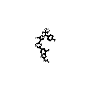 CC(F)(F)C(c1ccc(F)cc1)n1cc(-c2cncc(-c3cc(F)c4nc(N)nn4c3)n2)c(F)n1